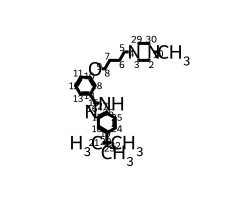 CN1CCN(CCCCOc2cccc(-c3nc4cc(C(C)(C)C)ccc4[nH]3)c2)CC1